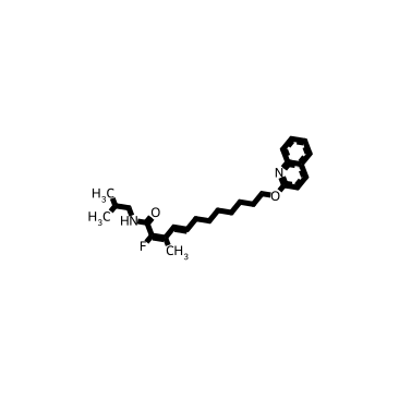 CC(/C=C/CCCCCCCOc1ccc2ccccc2n1)=C(\F)C(=O)NCC(C)C